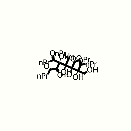 CCCC(=O)C(=O)[C@@](O)(C(=O)CCC)[C@](O)(C(=O)CCC)[C@@](O)(C(=O)CCC)[C@](O)(CO)C(=O)CCC